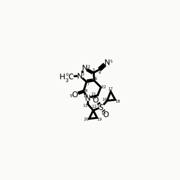 Cn1nc(C#N)c2c1C(=O)N(CC1(S(=O)(=O)C3CC3)CC1)CC2